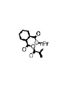 C=C(C)C(=O)OC(=O)C1CCCCC1C(=O)OCCC